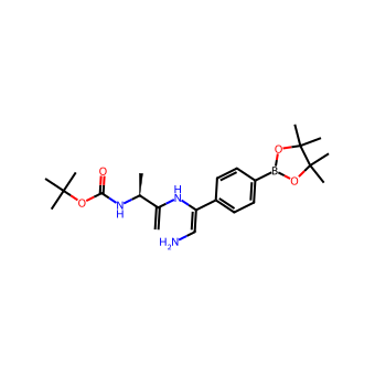 C=C(N/C(=C\N)c1ccc(B2OC(C)(C)C(C)(C)O2)cc1)[C@H](C)NC(=O)OC(C)(C)C